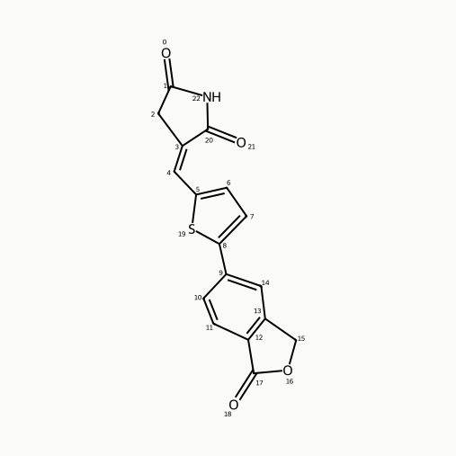 O=C1CC(=Cc2ccc(-c3ccc4c(c3)COC4=O)s2)C(=O)N1